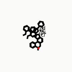 CCc1ccccc1-c1c(CC)ccc2c1C=C(c1ccccc1)[CH]2[Zr]([Cl])([Cl])([CH]1C(c2ccccc2)=Cc2c1ccc(CC)c2-c1ccccc1CC)[SiH](C)C